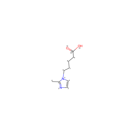 Cc1n[c]cn1CCCCC(=O)O